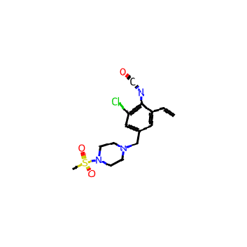 C=Cc1cc(CN2CCN(S(C)(=O)=O)CC2)cc(Cl)c1N=C=O